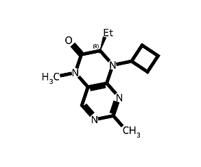 CC[C@@H]1C(=O)N(C)c2cnc(C)nc2N1C1CCC1